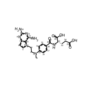 CN(CCn1ccc2nc(N)nc(N)c21)c1ccc(C(=O)N[C@@H](CCC(=O)O)C(=O)O)cc1